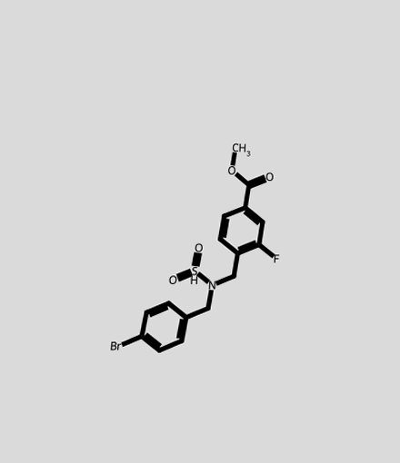 COC(=O)c1ccc(CN(Cc2ccc(Br)cc2)[SH](=O)=O)c(F)c1